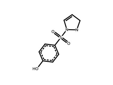 O=S(=O)(c1ccc(O)cc1)N1C=CC[N]1